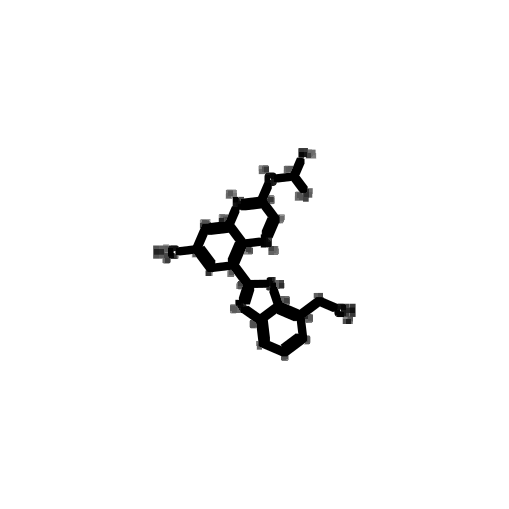 Cc1cc(-c2nc3cccc(CO)c3s2)c2ncc(OC(F)F)nc2c1